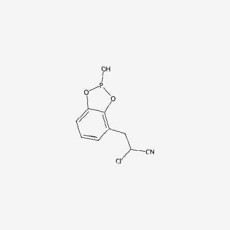 N#CC(Cl)Cc1cccc2c1OP(O)O2